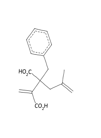 C=C(C)CC(Cc1ccccc1)(C(=C)C(=O)O)C(=O)O